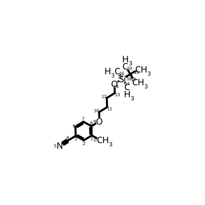 Cc1cc(C#N)ccc1OCCCCO[Si](C)(C)C(C)(C)C